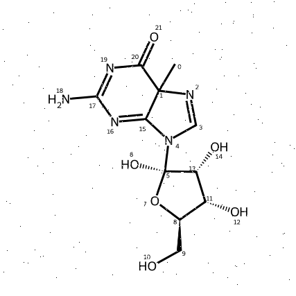 CC12N=CN([C@]3(O)O[C@H](CO)[C@@H](O)[C@H]3O)C1=NC(N)=NC2=O